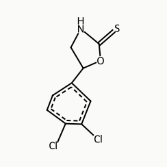 S=C1NCC(c2ccc(Cl)c(Cl)c2)O1